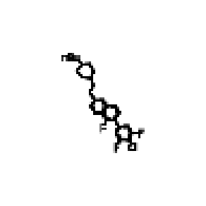 CCCCC1CCC(CCc2ccc3c(F)c(-c4cc(F)c(Cl)c(F)c4)ccc3c2)CC1